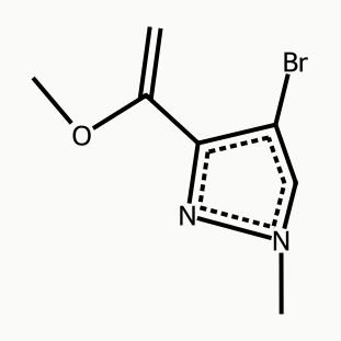 C=C(OC)c1nn(C)cc1Br